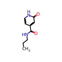 CCCNC(=O)c1cc[nH]c(=O)c1